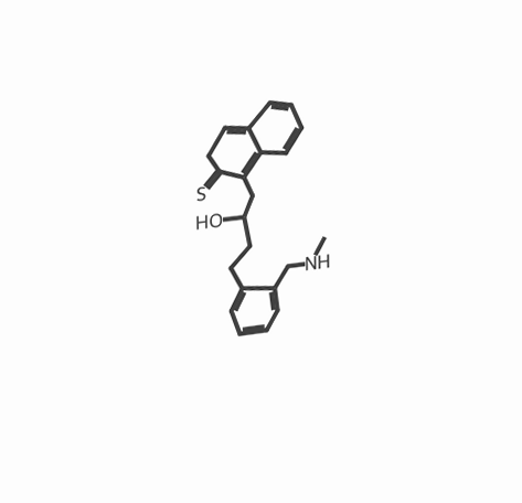 CNCc1ccccc1CCC(O)CC1=c2ccccc2=CCC1=S